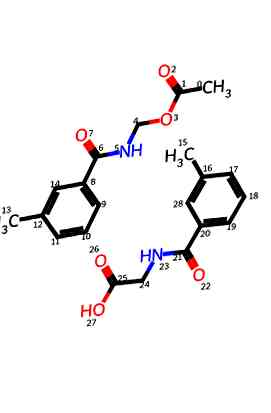 CC(=O)OCNC(=O)c1cccc(C)c1.Cc1cccc(C(=O)NCC(=O)O)c1